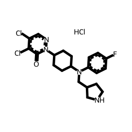 Cl.O=c1c(Cl)c(Cl)cnn1C1CCC(N(CC2CCNC2)c2ccc(F)cc2)CC1